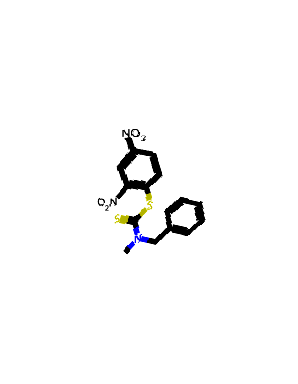 CN(Cc1ccccc1)C(=S)Sc1ccc([N+](=O)[O-])cc1[N+](=O)[O-]